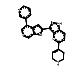 C1=C(c2ccc3[nH]nc(-c4cc5c(-c6cccnc6)cncc5[nH]4)c3n2)CCNC1